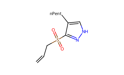 C=CCS(=O)(=O)c1n[nH]cc1CCCCC